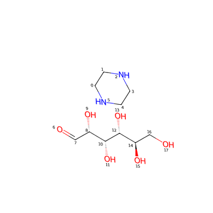 C1CNCCN1.O=C[C@H](O)[C@@H](O)[C@H](O)[C@H](O)CO